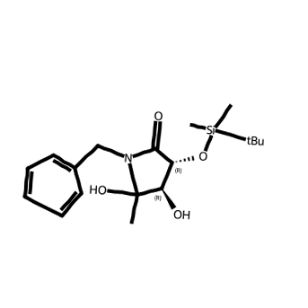 CC1(O)[C@H](O)[C@@H](O[Si](C)(C)C(C)(C)C)C(=O)N1Cc1ccccc1